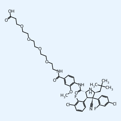 COc1cc(C(=O)NCCOCCOCCOCCOCCC(=O)O)ccc1NC(=O)[C@@H]1N[C@@H](CC(C)(C)C)[C@](C#N)(c2ccc(Cl)cc2F)[C@H]1c1cccc(Cl)c1F